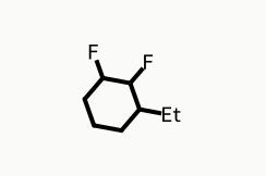 CCC1CCCC(F)C1F